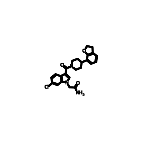 NC(=O)Cn1cc(C(=O)N2CCC(c3cccc4c3OCC4)CC2)c2ccc(Cl)cc21